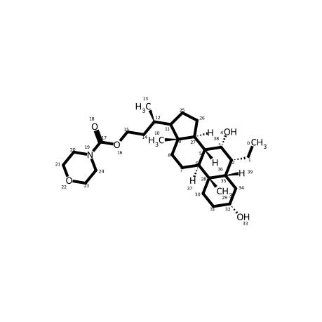 CC[C@H]1[C@@H](O)[C@@H]2[C@H](CC[C@]3(C)C([C@H](C)CCOC(=O)N4CCOCC4)CC[C@@H]23)[C@@]2(C)CC[C@@H](O)C[C@@H]12